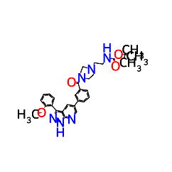 COc1ccccc1-c1n[nH]c2ncc(-c3cccc(C(=O)N4CCN(CCNC(=O)OC(C)(C)C)CC4)c3)cc12